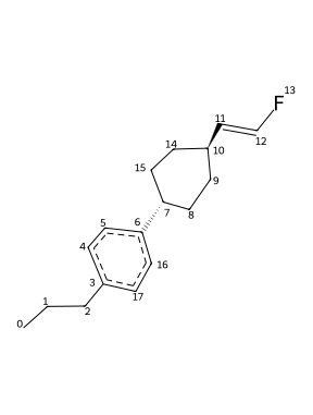 CCCc1ccc([C@H]2CC[C@H](C=CF)CC2)cc1